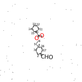 O=Cc1ccc(CCOC(=O)c2ccccc2)cc1